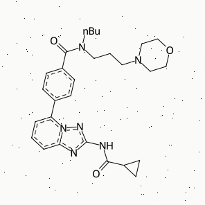 CCCCN(CCCN1CCOCC1)C(=O)c1ccc(-c2cccc3nc(NC(=O)C4CC4)nn23)cc1